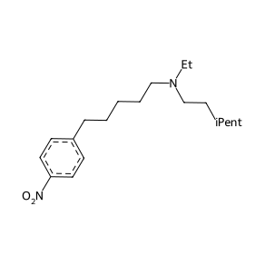 CCCC(C)CCN(CC)CCCCCc1ccc([N+](=O)[O-])cc1